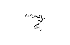 CC(=O)COCCO[C@@H](C)[C@H](C)OCCN